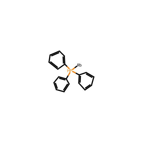 [Rb][PH](c1ccccc1)(c1ccccc1)c1ccccc1